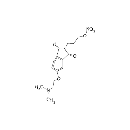 CN(C)CCOc1ccc2c(c1)C(=O)N(CCCO[N+](=O)[O-])C2=O